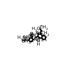 CC(C)=CC[C@@]1(C)C(=O)C(C2=NS(=O)(=O)c3cc(NS(C)(=O)=O)ccc3N2)=C(O)c2ccccc21